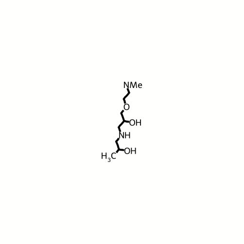 CNCCOCC(O)CNCC(C)O